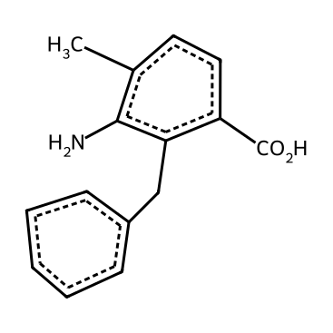 Cc1ccc(C(=O)O)c(Cc2ccccc2)c1N